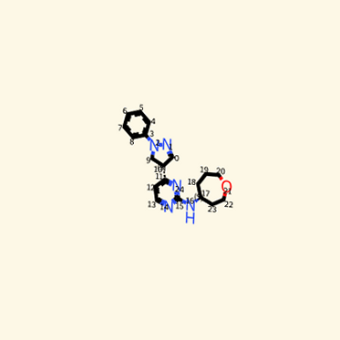 C1=NN(c2ccccc2)C[C@H]1c1ccnc(N[C@H]2CCCOCC2)n1